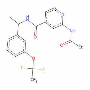 CCC(=O)Nc1cc(C(=O)NC(C)c2cccc(OC(F)(F)C(F)(F)F)c2)ccn1